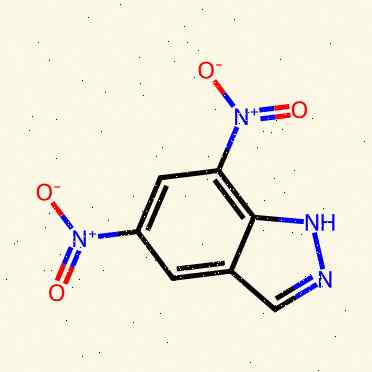 O=[N+]([O-])c1cc([N+](=O)[O-])c2[nH]ncc2c1